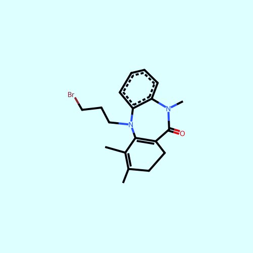 CC1=C(C)C2=C(CC1)C(=O)N(C)c1ccccc1N2CCCBr